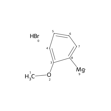 Br.COc1cccc[c]1[Mg]